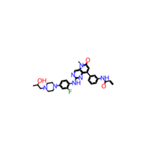 C=CC(=O)Nc1cccc(-c2cc(=O)n(C)c3cnc(Nc4ccc(N5CCN(CC(C)O)CC5)cc4F)nc23)c1